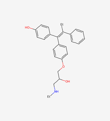 CCNCC(O)COc1ccc(C(=C(CC)c2ccccc2)c2ccc(O)cc2)cc1